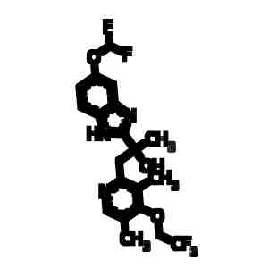 Cc1cnc(CC(C)(O)c2nc3cc(OC(F)F)ccc3[nH]2)c(C)c1OCC(F)(F)F